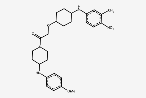 COc1ccc(NC2CCN(C(=O)COC3CCC(Nc4ccc([N+](=O)[O-])c(C)c4)CC3)CC2)cc1